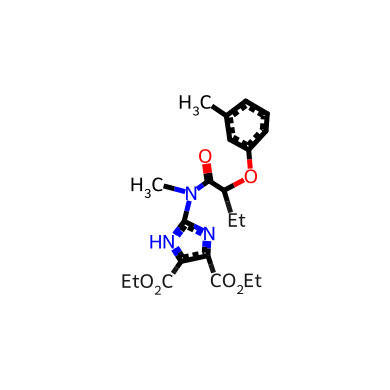 CCOC(=O)c1nc(N(C)C(=O)C(CC)Oc2cccc(C)c2)[nH]c1C(=O)OCC